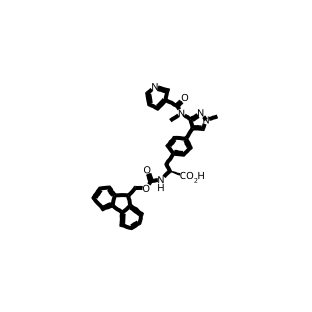 CN(C(=O)c1cccnc1)c1nn(C)cc1-c1ccc(C[C@H](NC(=O)OCC2c3ccccc3-c3ccccc32)C(=O)O)cc1